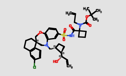 C=CCN(C(=O)OC(C)(C)C)C1(C(=O)NS(=O)(=O)c2ccc3c(c2)N(C[C@@H]2CC[C@H]2[C@@H](O)C=C)C[C@@]2(CCCc4cc(Cl)ccc42)CO3)CCC1